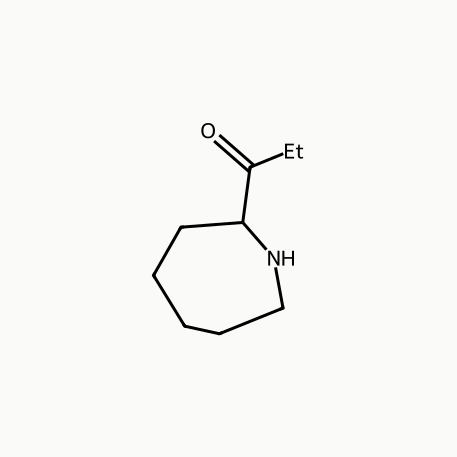 CCC(=O)C1CCCCCN1